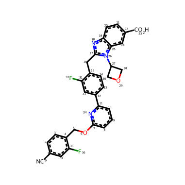 N#Cc1ccc(COc2cccc(-c3ccc(Cc4nc5ccc(C(=O)O)cc5n4C4COC4)c(F)c3)n2)c(F)c1